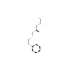 O=C(O)[C@@H](O)[C@@H](O)[C@H](O)C(=O)CN[C@H](Cc1ccccc1)C(=O)O